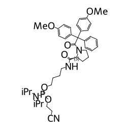 COc1ccc(C(C(=O)N2CCC[C@H]2C(=O)NCCCCOP(OCCC#N)N(C(C)C)C(C)C)(c2ccccc2)c2ccc(OC)cc2)cc1